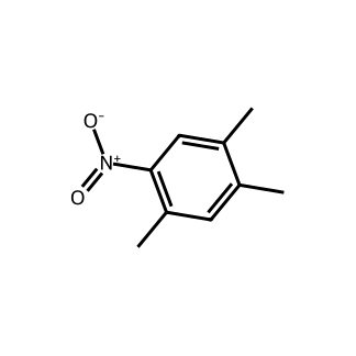 Cc1cc(C)c([N+](=O)[O-])cc1C